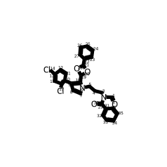 O=CN(CCCn1ccc(-c2ccc(Cl)cc2Cl)c1C1OC(c2ccccc2)O1)C(=O)c1ccccc1